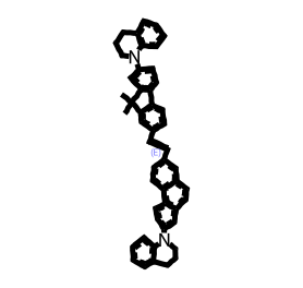 CC1(C)c2cc(/C=C/c3ccc4c(ccc5cc(N6CCCc7ccccc76)ccc54)c3)ccc2-c2ccc(N3CCCc4ccccc43)cc21